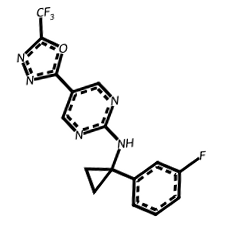 Fc1cccc(C2(Nc3ncc(-c4nnc(C(F)(F)F)o4)cn3)CC2)c1